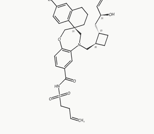 C=CCCS(=O)(=O)NC(=O)c1ccc2c(c1)N(C[C@@H]1CC[C@H]1C[C@H](O)C=C)C[C@@]1(CCCc3cc(Cl)ccc31)CO2